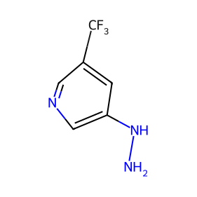 NNc1cncc(C(F)(F)F)c1